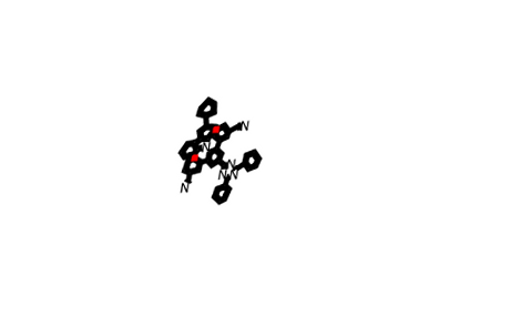 N#Cc1cccc(-c2cc(-c3nc(-c4ccccc4)nc(-c4ccccc4)n3)cc(-c3cccc(C#N)c3)c2-n2c3ccccc3c3cc(-c4ccccc4)ccc32)c1